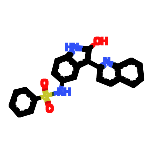 O=S(=O)(Nc1ccc2[nH]c(O)c(-c3ccc4ccccc4n3)c2c1)c1ccccc1